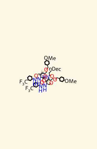 CCCCCCCCCCCCC(=O)N[C@H]1C(COCc2ccc(OC)cc2)OCC(NC(=O)Nc2cccc(C(F)(F)F)c2)[C@H]1O[C@@H]1OC(COCc2ccc(OC)cc2)[C@@H](C)[C@H](C)C1NC(=O)Nc1cccc(C(F)(F)F)c1